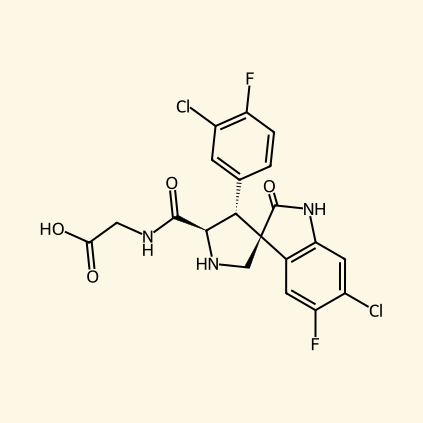 O=C(O)CNC(=O)[C@@H]1NC[C@]2(C(=O)Nc3cc(Cl)c(F)cc32)[C@H]1c1ccc(F)c(Cl)c1